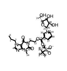 CCCn1cnc2c1c(=O)n(CCOC(=O)c1ccc[n+]([C@@H]3O[C@H](CO)[C@@H](O)[C@H]3O)c1)c(=O)n2C.O=S(=O)([O-])C(F)(F)F